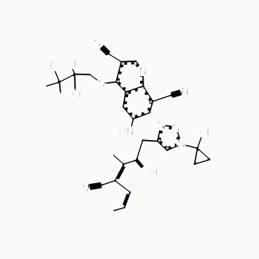 C=C(/C(C)=C(C#N)\C=C/C)[C@H](Nc1cc(C#N)c2ncc(C#N)c(NCC(C)(C)C(F)(F)F)c2c1)c1cn(C2(C)CC2)nn1